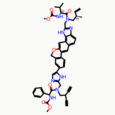 C#CC(C#C)CN(Cc1ncc(-c2ccc3c(c2)COc2cc4c(ccc5nc(CN(C[C@H](C)C=C)C(=O)[C@@H](NC(=O)OC)C(C)C)[nH]c54)cc2-3)[nH]1)C(=O)C(NC(=O)OC)c1ccccc1